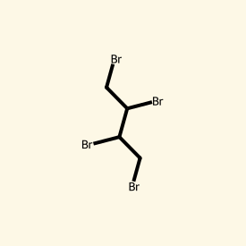 BrCC(Br)C(Br)CBr